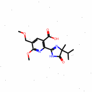 COCc1cc(C(=O)O)c(C2=NC(C)(C(C)C)C(=O)N2)nc1OC